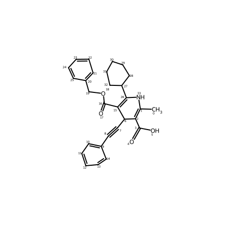 CC1=C(C(=O)O)C(C#Cc2ccccc2)C(C(=O)OCc2ccccc2)=C(C2CCCCC2)N1